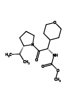 COC(=O)N[C@H](C(=O)N1CCC[C@H]1C(C)C)C1CCOCC1